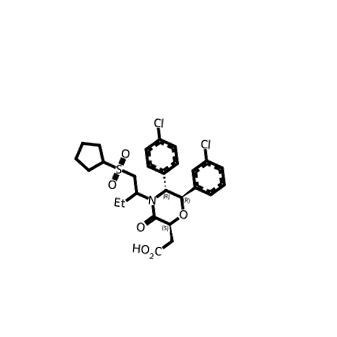 CCC(CS(=O)(=O)C1CCCC1)N1C(=O)[C@H](CC(=O)O)O[C@H](c2cccc(Cl)c2)[C@H]1c1ccc(Cl)cc1